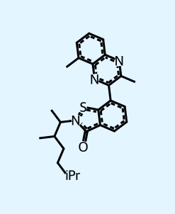 Cc1nc2cccc(C)c2nc1-c1cccc2c(=O)n(C(C)C(C)CCC(C)C)sc12